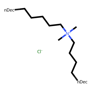 CCCCCCCCCCCCCCC[N+](C)(C)CCCCCCCCCCCCCC.[Cl-]